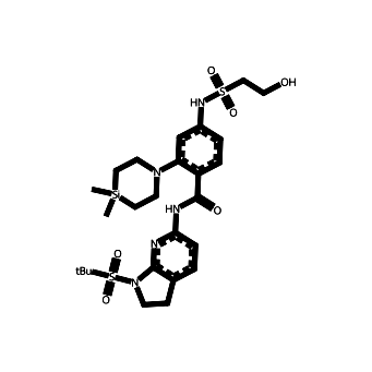 CC(C)(C)S(=O)(=O)N1CCc2ccc(NC(=O)c3ccc(NS(=O)(=O)CCO)cc3N3CC[Si](C)(C)CC3)nc21